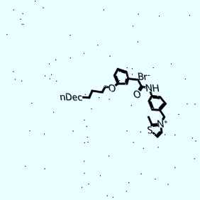 CCCCCCCCCCCCCCOc1cccc(CC(=O)Nc2ccc(C[n+]3ccsc3C)cc2)c1.[Br-]